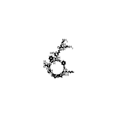 CCCCNC(=O)N[C@H]1CSCc2cccc(c2)CSC[C@@H](C(=O)N[C@@H](CCCCNC(=O)C(CNCCN)CNCCN)CC(=O)O)NC(=O)[C@H](Cc2ccccc2)NC(=O)[C@H](CCC(N)=O)NC(=O)[C@H](CC)NC(=O)[C@@H]2CCCN2C(=O)[C@@H]2CCCN2C1=O